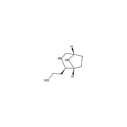 OCC[C@H]1NC[C@@H]2CC[C@H]1N2